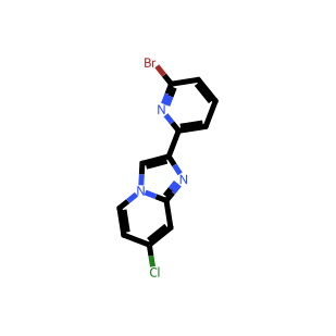 Clc1ccn2cc(-c3cccc(Br)n3)nc2c1